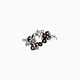 C=CC(=O)N1CC[C@](O)(C(=O)N(C)[C@H](C(=O)N[C@@H](Cc2cccc(-c3ccc4c(c3)c(CC(C)(C)COC(C)=O)c(-c3cccnc3[C@H](C)OC)n4CC)c2)C(=O)N2CCCCN2)C(C)C)C1